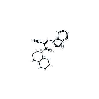 N#C/C(=C/c1c[nH]c2ccccc12)C(=O)N1CCCC2CCCCC21